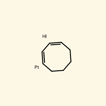 C1=C\CCCC\C=C/1.I.[Pt]